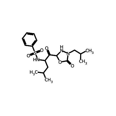 CC(C)CC(NS(=O)(=O)c1ccccc1)C(=O)C1NN(CC(C)C)C(=O)O1